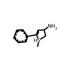 C[SH]1CC(N)C=C1c1ccccc1